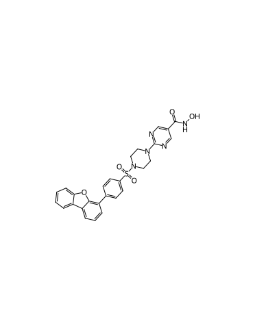 O=C(NO)c1cnc(N2CCN(S(=O)(=O)c3ccc(-c4cccc5c4oc4ccccc45)cc3)CC2)nc1